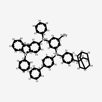 CC(C)c1cc(N(c2ccc(-c3ccccc3)cc2)c2ccc(C34CC5CC(CC(C5)C3)C4)cc2)cc(N(c2ccccc2)c2ccc3c(c2)c2ccccc2n3-c2ccccc2)c1